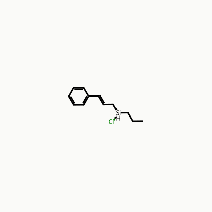 CCC[SiH](Cl)CC=Cc1ccccc1